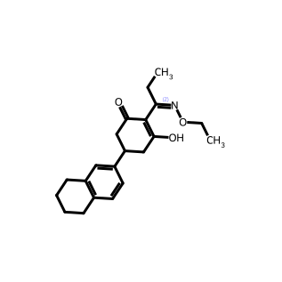 CCO/N=C(/CC)C1=C(O)CC(c2ccc3c(c2)CCCC3)CC1=O